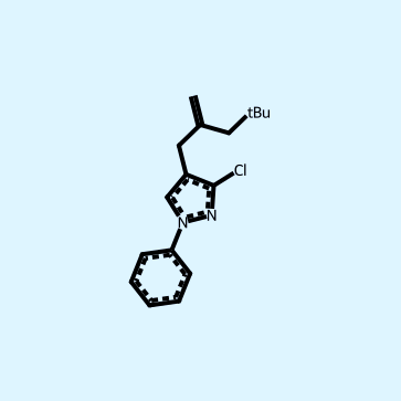 C=C(Cc1cn(-c2ccccc2)nc1Cl)CC(C)(C)C